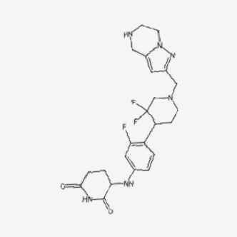 O=C1CCC(Nc2ccc(C3CCN(Cc4cc5n(n4)CCNC5)CC3(F)F)c(F)c2)C(=O)N1